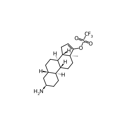 C[C@]12CC[C@H]3[C@@H](CC[C@H]4C[C@H](N)CC[C@@H]43)[C@@H]1CC=C2OS(=O)(=O)C(F)(F)F